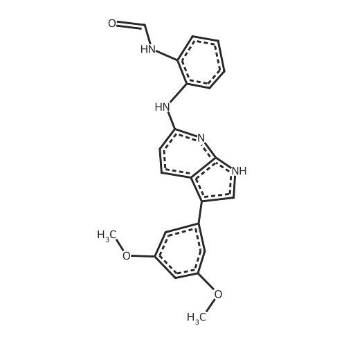 COc1cc(OC)cc(-c2c[nH]c3nc(Nc4ccccc4NC=O)ccc23)c1